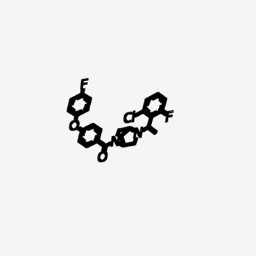 CC(c1c(F)cccc1Cl)N1CC2CC1CN2C(=O)c1ccc(Oc2ccc(F)cc2)cc1